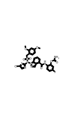 COc1ccc(CS(=O)(=O)N(c2ncc(Cl)s2)n2ncc3c(C(=O)Nc4ccc(F)cc4OC(N)=O)cccc32)c(OC)c1